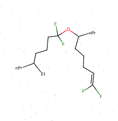 CCCC(CC)CCCC(F)(F)OC(CCC)CCCC=C(F)F